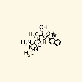 C/C(=C(CCO)/[SH]=C(\O)c1ccc2ccccc2c1Br)N(C=O)Cc1cnc(C)nc1N